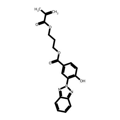 C=C(C)C(=O)OCCCOC(=O)c1ccc(O)c(-n2nc3ccccc3n2)c1